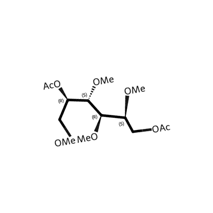 COC[C@@H](OC(C)=O)[C@H](OC)[C@H](OC)[C@H](COC(C)=O)OC